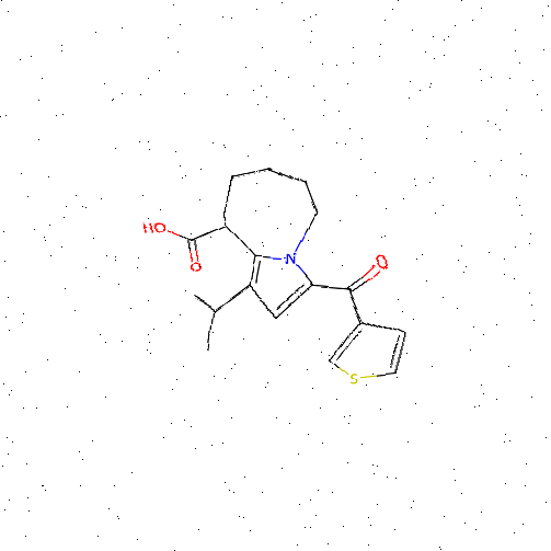 CC(C)c1cc(C(=O)c2ccsc2)n2c1C(C(=O)O)CCCC2